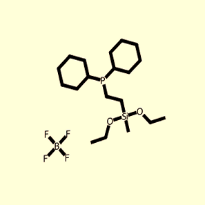 CCO[Si](C)(CCP(C1CCCCC1)C1CCCCC1)OCC.F[B-](F)(F)F